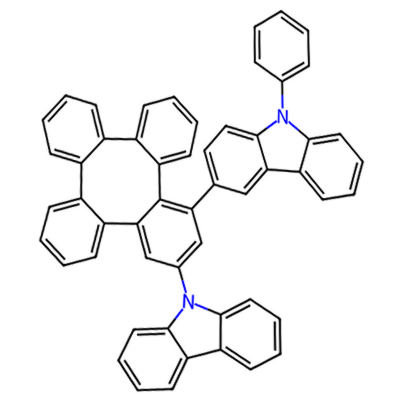 c1ccc(-n2c3ccccc3c3cc(-c4cc(-n5c6ccccc6c6ccccc65)cc5c4-c4ccccc4-c4ccccc4-c4ccccc4-5)ccc32)cc1